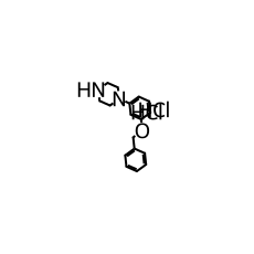 Cl.Cl.c1ccc(COc2cccc(N3CCNCC3)c2)cc1